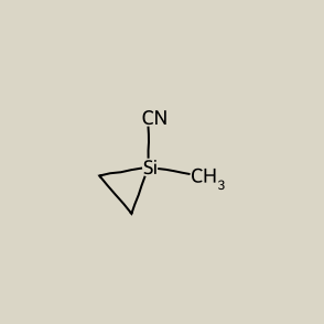 C[Si]1(C#N)CC1